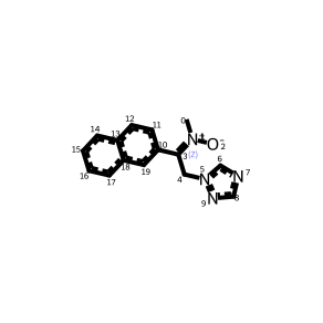 C/[N+]([O-])=C(/Cn1cncn1)c1ccc2ccccc2c1